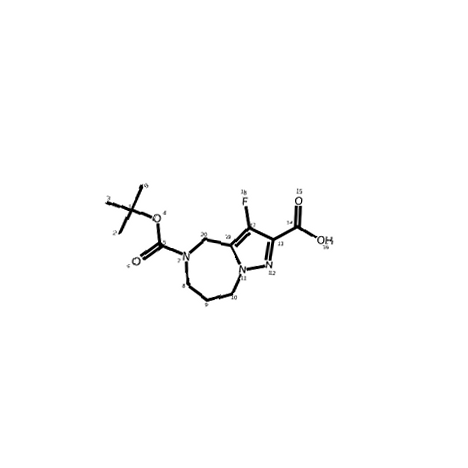 CC(C)(C)OC(=O)N1CCCn2nc(C(=O)O)c(F)c2C1